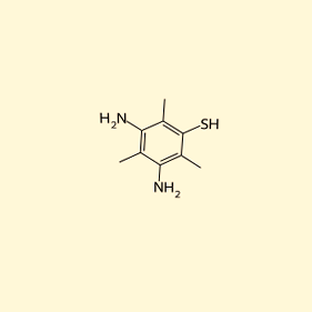 Cc1c(N)c(C)c(S)c(C)c1N